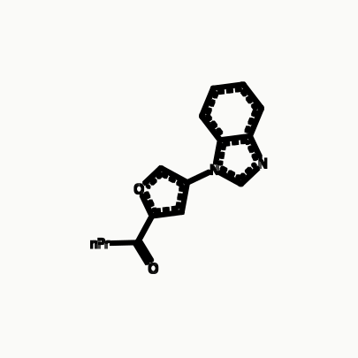 CCCC(=O)c1cc(-n2cnc3ccccc32)co1